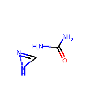 C1=NN1.NC(N)=O